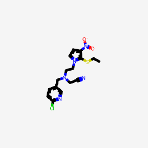 CCSc1c([N+](=O)[O-])ccn1CCN(CC#N)Cc1ccc(Cl)nc1